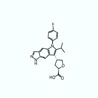 CC(C)c1c([C@@H]2CO[C@@H](C(=O)O)C2)c2cc3[nH]ncc3cc2n1-c1ccc(F)cc1